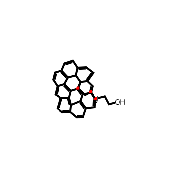 CN(CCO)CCCC12C3=CC=C4C=Cc5ccc6cc7ccc8ccc9ccc(c%10c1c(c6c5C42)c7c8c9%10)=C3